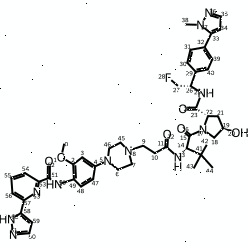 COc1cc(N2CCN(CCC(=O)N[C@H](C(=O)N3C[C@H](O)C[C@H]3C(=O)N[C@H](CF)c3ccc(-c4ccnn4C)cc3)C(C)(C)C)CC2)ccc1NC(=O)c1cccc(-c2ccn[nH]2)n1